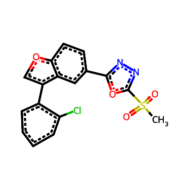 CS(=O)(=O)c1nnc(-c2ccc3occ(-c4ccccc4Cl)c3c2)o1